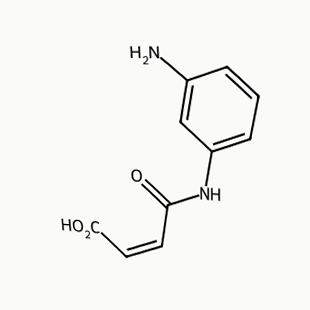 Nc1cccc(NC(=O)/C=C\C(=O)O)c1